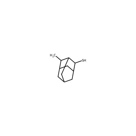 CC1C2CC3CC(C2)C(S)C1C3